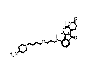 NC1CCN(CCCCOCCCNc2cccc3c2C(=O)N(C2CCC(=O)NC2=O)C3=O)CC1